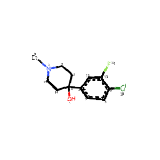 CCN1CCC(O)(c2ccc(Cl)c(F)c2)CC1